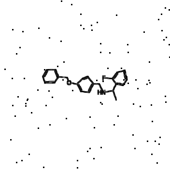 CC(NCc1ccc(OCc2ccccc2)cc1)c1ccccc1F